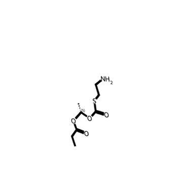 CCC(=O)O[C@H](C)OC(=O)SCCN